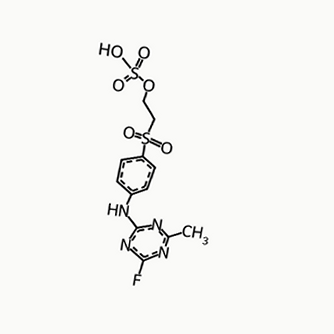 Cc1nc(F)nc(Nc2ccc(S(=O)(=O)CCOS(=O)(=O)O)cc2)n1